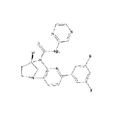 O=C(Nc1cnccn1)N1c2nc(-c3cc(F)cc(F)c3)ccc2N2CC[C@H]1C2